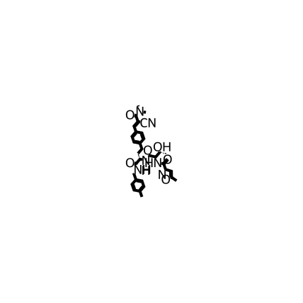 Cc1ccc(CNC(=O)[C@H](CCc2ccc(/C=C(\C#N)C(=O)N(C)C)cc2)NC(=O)[C@@H](NC(=O)c2cc(C)on2)[C@@H](C)O)cc1